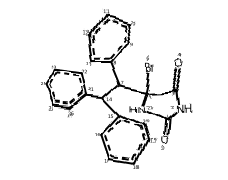 O=C1NC(=O)C(Br)(C(c2ccccc2)C(c2ccccc2)c2ccccc2)N1